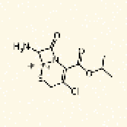 CC(C)OC(=O)C1=C(Cl)CS[C@H]2C(N)C(=O)N12